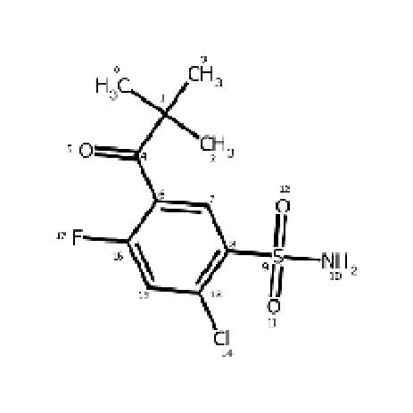 CC(C)(C)C(=O)c1cc(S(N)(=O)=O)c(Cl)cc1F